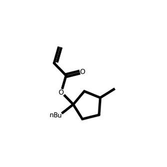 C=CC(=O)OC1(CCCC)CCC(C)C1